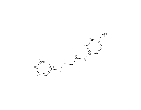 Oc1ccc(COCCCc2ccccc2)cc1